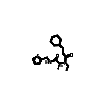 CCN(C(=O)CCC1CCCCC1)[C@@H](C)C(=O)NCc1cccs1